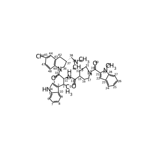 C[C@@H](c1c[nH]c2ccccc12)[C@H](NC(=O)C1CCN(C(=O)c2cc3ccccc3n2C)CC1)C(=O)N1C[C@@H](CN(C)C)Cc2cc(Cl)ccc21